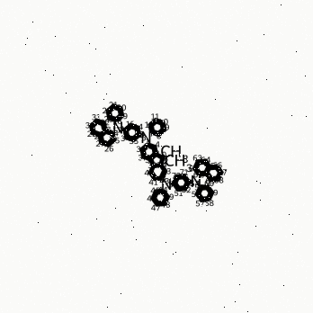 CC1(C)c2cc(N(c3ccccc3)c3ccc(N(c4ccccc4)c4cccc5ccccc45)cc3)ccc2C2C=CC(N(c3ccccc3)c3ccc(N(c4ccccc4)c4cccc5ccccc45)cc3)=CC21